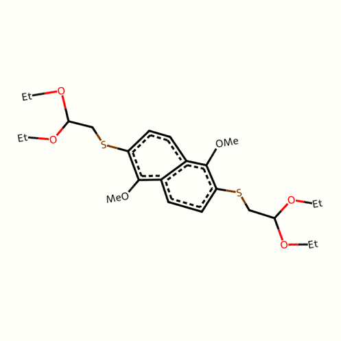 CCOC(CSc1ccc2c(OC)c(SCC(OCC)OCC)ccc2c1OC)OCC